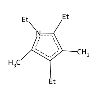 CCc1c(C)c(CC)n(CC)c1C